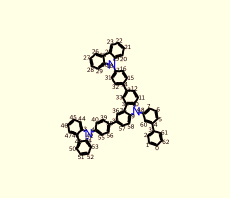 c1ccc(-c2cccc(-n3c4ccc(-c5ccc(-n6c7ccccc7c7ccccc76)cc5)cc4c4cc(-c5ccc(-n6c7ccccc7c7ccccc76)cc5)ccc43)c2)cc1